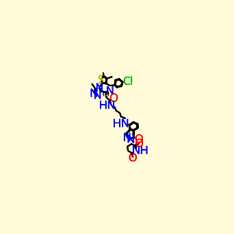 Cc1sc2c(c1C)C(c1ccc(Cl)cc1)=N[C@@H](CC(=O)NCCCCCNc1cccc3c(=O)n(C4CCC(=O)NC4=O)ncc13)c1nnc(C)n1-2